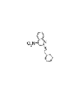 O=[N+]([O-])c1cc(SCc2ccccc2)nc2ccccc12